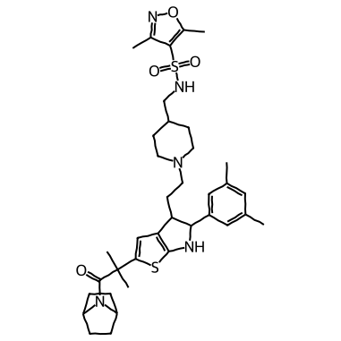 Cc1cc(C)cc(C2Nc3sc(C(C)(C)C(=O)N4C5CCC4CC5)cc3C2CCN2CCC(CNS(=O)(=O)c3c(C)noc3C)CC2)c1